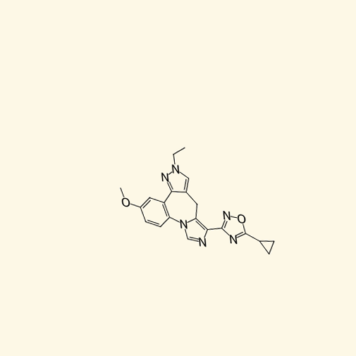 CCn1cc2c(n1)-c1cc(OC)ccc1-n1cnc(-c3noc(C4CC4)n3)c1C2